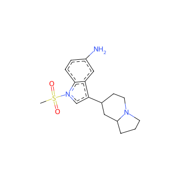 CS(=O)(=O)n1cc(C2CCN3CCCC3C2)c2cc(N)ccc21